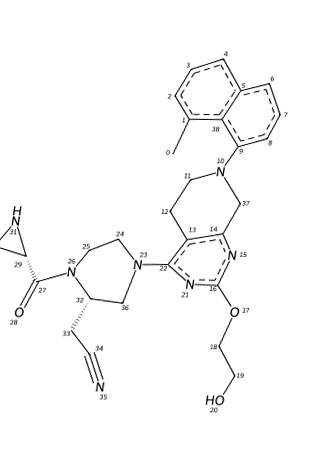 Cc1cccc2cccc(N3CCc4c(nc(OCCO)nc4N4CCN(C(=O)[C@@H]5CN5)[C@@H](CC#N)C4)C3)c12